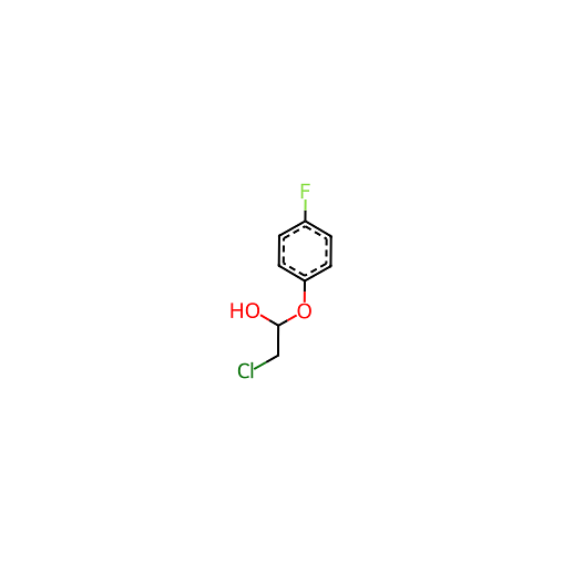 OC(CCl)Oc1ccc(F)cc1